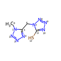 Cn1nnnc1Cn1nnnc1S